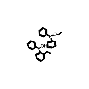 CCOP(c1ccccc1)c1ccccc1.CCc1ccccc1P(O)c1ccccc1